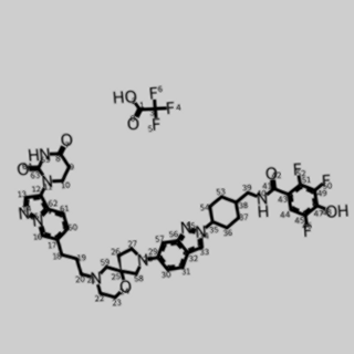 O=C(O)C(F)(F)F.O=C1CCN(c2cnn3cc(CCCN4CCO[C@]5(CCN(c6ccc7cn(C8CCC(CNC(=O)c9cc(F)c(O)c(F)c9F)CC8)nc7c6)C5)C4)ccc23)C(=O)N1